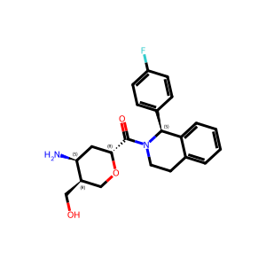 N[C@H]1C[C@H](C(=O)N2CCc3ccccc3[C@@H]2c2ccc(F)cc2)OC[C@H]1CO